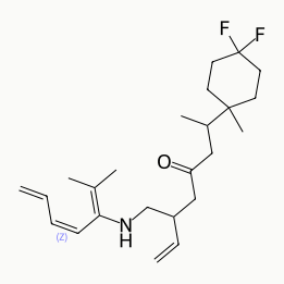 C=C/C=C\C(NCC(C=C)CC(=O)CC(C)C1(C)CCC(F)(F)CC1)=C(C)C